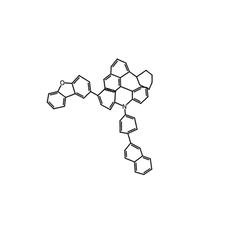 c1ccc(N(c2ccc(-c3ccc4ccccc4c3)cc2)c2ccc(-c3ccc4oc5ccccc5c4c3)cc2)c(-c2cccc3cccc(C4CCCCC4)c23)c1